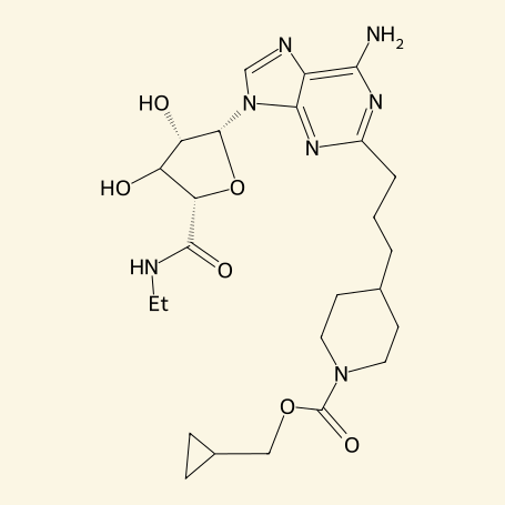 CCNC(=O)[C@H]1O[C@@H](n2cnc3c(N)nc(CCCC4CCN(C(=O)OCC5CC5)CC4)nc32)[C@@H](O)C1O